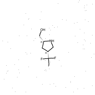 OC[C@H]1C[C@@H](C(F)(F)F)CN1